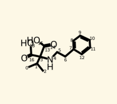 CC(C)C(NCCc1ccccc1)(C(=O)O)C(=O)O